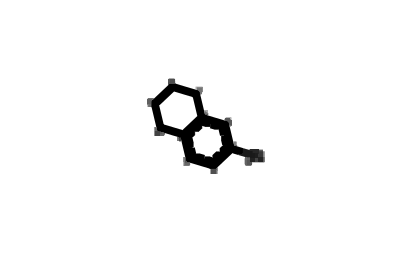 [CH2]Cc1ccc2c(c1)CCCC2